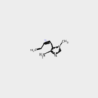 C=C/C=C\c1c(N)ncn1C